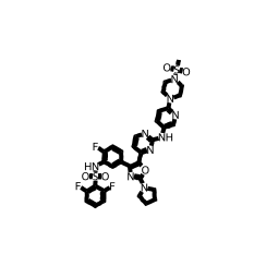 CS(=O)(=O)N1CCN(c2ccc(Nc3nccc(-c4oc(N5CCCC5)nc4-c4ccc(F)c(NS(=O)(=O)c5c(F)cccc5F)c4)n3)cn2)CC1